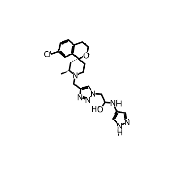 C[C@H]1C[C@@]2(CCN1Cc1cn(CC(O)Nc3cn[nH]c3)nn1)OCCc1ccc(Cl)cc12